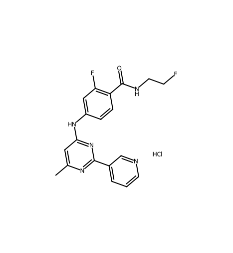 Cc1cc(Nc2ccc(C(=O)NCCF)c(F)c2)nc(-c2cccnc2)n1.Cl